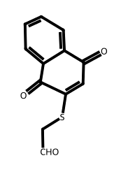 O=CCSC1=CC(=O)c2ccccc2C1=O